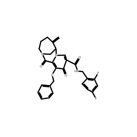 C=C1CCCN2CC1n1cc(C(=O)NCc3ccc(F)cc3F)c(=O)c(OCc3ccccc3)c1C2=O